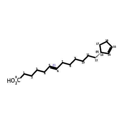 O=C(O)CCCC/C=C/CCCCCC[C@H]1C=CCC1